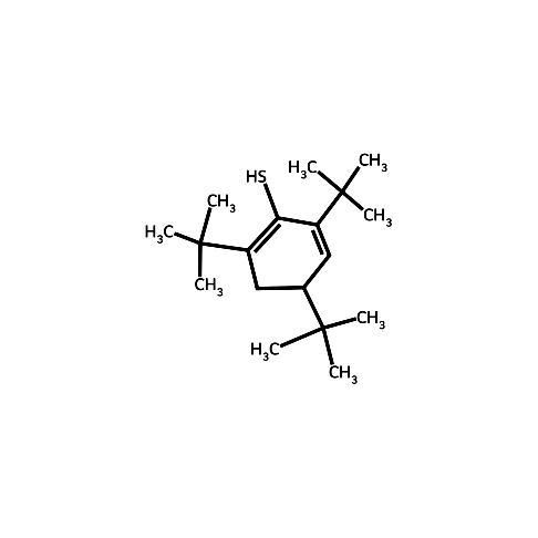 CC(C)(C)C1=CC(C(C)(C)C)CC(C(C)(C)C)=C1S